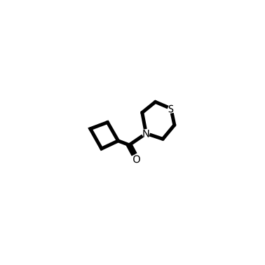 O=C(C1CCC1)N1CCSCC1